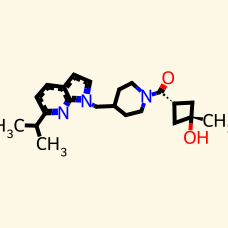 CC(C)c1ccc2ccn(CC3CCN(C(=O)[C@H]4C[C@@](C)(O)C4)CC3)c2n1